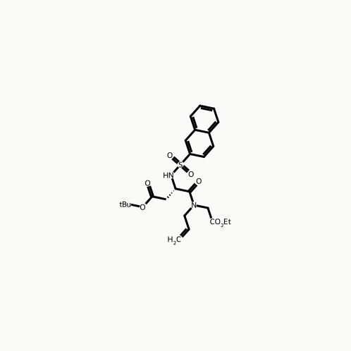 C=CCN(CC(=O)OCC)C(=O)[C@H](CC(=O)OC(C)(C)C)NS(=O)(=O)c1ccc2ccccc2c1